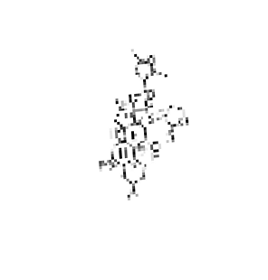 Cc1cc(C(=O)O[C@]2(C(=O)S[C@H]3CCOC3=O)[C@H](C)C[C@H]3[C@@H]4C[C@H](F)C5=CC(=O)C=C[C@]5(C)[C@@]4(F)[C@@H](O)C[C@@]32C)c(C)o1